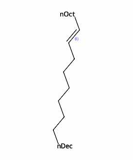 [CH2]CCCCCCC/C=C/CCCCCCCCCCCCCCC[CH2]